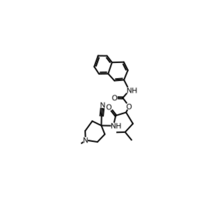 CC(C)CC(OC(=O)Nc1ccc2ccccc2c1)C(=O)NC1(C#N)CCN(C)CC1